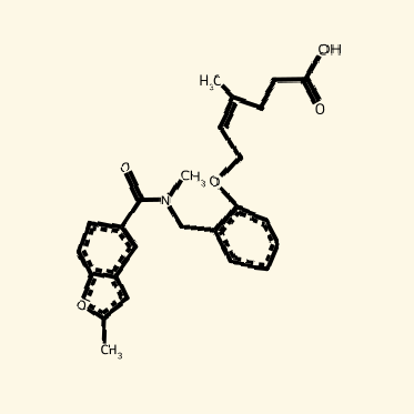 CC(=CCOc1ccccc1CN(C)C(=O)c1ccc2oc(C)cc2c1)CCC(=O)O